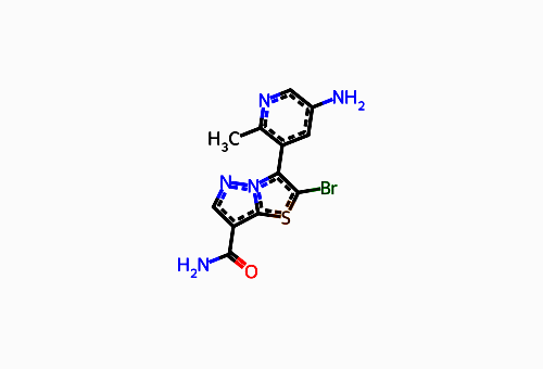 Cc1ncc(N)cc1-c1c(Br)sc2c(C(N)=O)cnn12